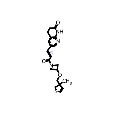 CC1(COC2CN(C(=O)/C=C/c3cnc4c(c3)CCC(=O)N4)C2)C=CSC1